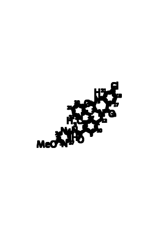 COc1cnc(NC(=O)c2ccc(CN3C(=O)c4ccc(Cl)cc4NC(=O)[C@H]3Cc3ccccn3)cc2C)cn1